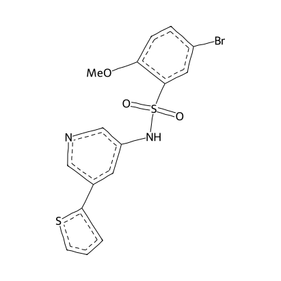 COc1ccc(Br)cc1S(=O)(=O)Nc1cncc(-c2cccs2)c1